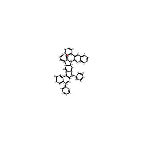 c1ccc(-c2nc3ccccc3nc2-n2c3ccccc3c3cc4c5c6ccccc6c(-c6ccccc6)cc5n(-c5ccccc5)c4cc32)cc1